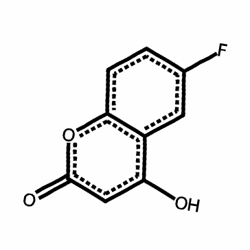 O=c1cc(O)c2cc(F)ccc2o1